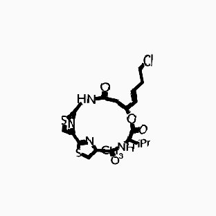 CC(C)C1NC(=O)[C@]2(C)CSC(=N2)c2csc(n2)CNC(=O)CC(/C=C/CCCl)OC1=O